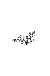 C[C@H]1Cn2ncc(NC(=O)c3cccc(C#N)c3)c2C(=O)N1c1ccc(C(F)(F)F)cc1